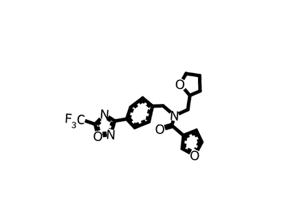 O=C(c1ccoc1)N(Cc1ccc(-c2noc(C(F)(F)F)n2)cc1)CC1CCCO1